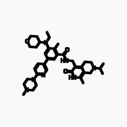 CCN(c1cc(-c2ccc(N3CCN(C)CC3)nc2)cc(C(=O)NCc2c3c(c(C)[nH]c2=O)CN(C(C)C)CC3)c1C)C1CCOCC1